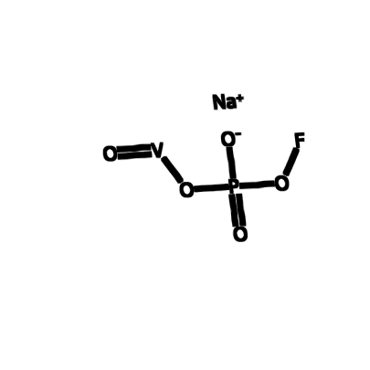 [Na+].[O]=[V][O]P(=O)([O-])OF